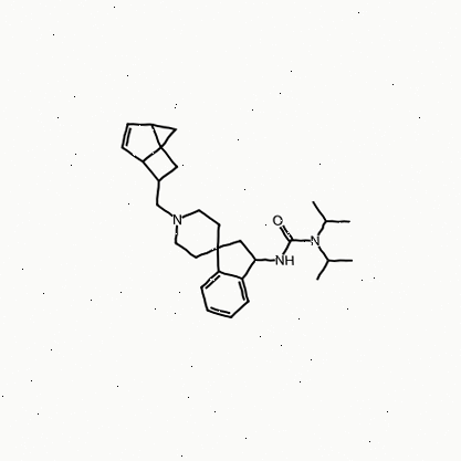 CC(C)N(C(=O)NC1CC2(CCN(CC3CC45CC4C=CC35)CC2)c2ccccc21)C(C)C